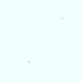 CC1(C)c2ccccc2-c2ccc(N(c3ccccc3)c3ccc4c(c3)C3(c5ccc(-c6ccccc6)cc5-c5ccc(N(c6ccccc6)c6ccccc6)cc53)c3ccc(-c5ccccc5)cc3-4)cc21